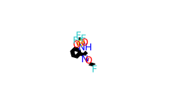 C/C(=N\OCCF)c1ccccc1NS(=O)(=O)C(F)(F)F